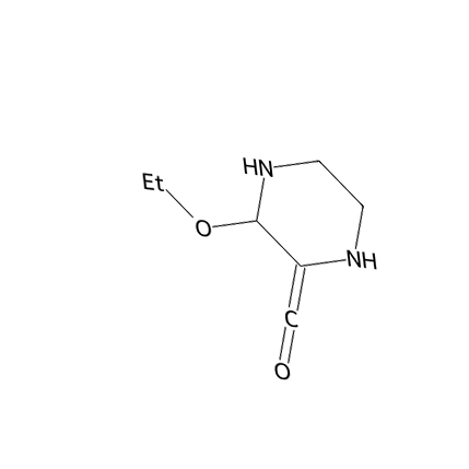 CCOC1NCCNC1=C=O